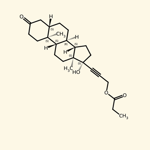 CCC(=O)OCC#C[C@]1(O)CC[C@H]2[C@@H]3CC[C@H]4CC(=O)CC[C@]4(C)[C@H]3CC[C@@]21C